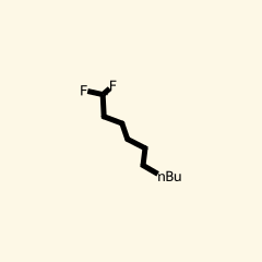 CCCCCCCCC[C](F)F